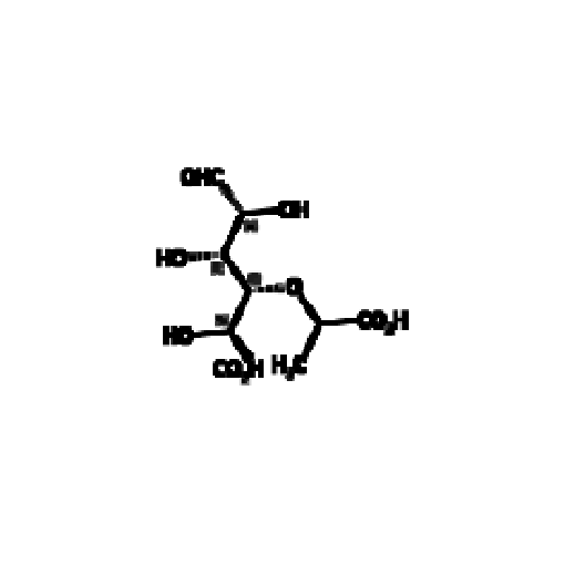 CC(O[C@@H]([C@H](O)[C@@H](O)C=O)[C@H](O)C(=O)O)C(=O)O